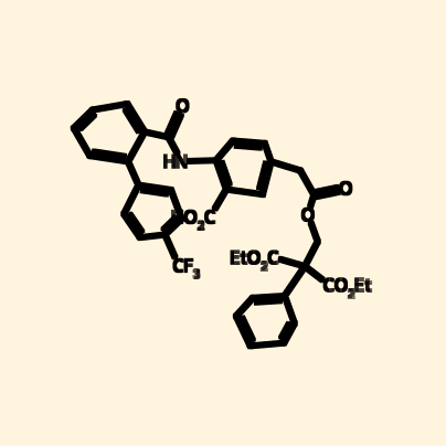 CCOC(=O)C(COC(=O)Cc1ccc(NC(=O)c2ccccc2-c2ccc(C(F)(F)F)cc2)c(C(=O)O)c1)(C(=O)OCC)c1ccccc1